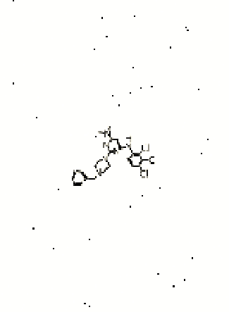 CN(C)c1cc(Nc2ccc(Cl)c(Cl)c2Cl)nc(N2CCN(Cc3ccccc3)CC2)n1